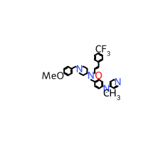 COc1ccc(CN2CCC(N(Cc3ccc(N(C)c4ccncc4)cc3)C(=O)/C=C/c3ccc(C(F)(F)F)cc3)CC2)cc1